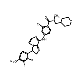 COc1ccc(C2CN=C3C(Nc4ccc(C(=O)N(C)CC5CCOCC5)c(Cl)c4)=NC=CN32)c(F)c1F